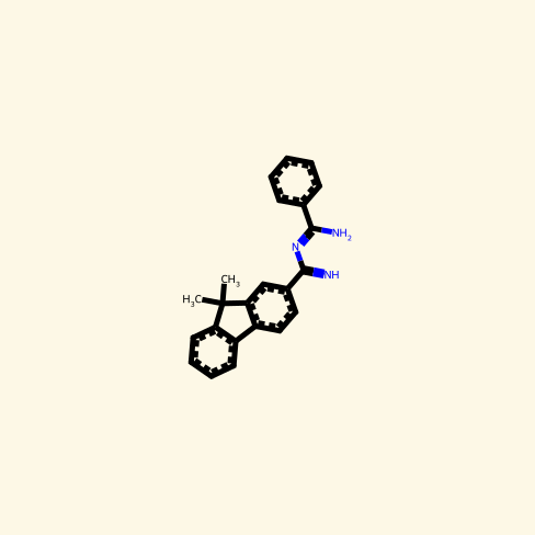 CC1(C)c2ccccc2-c2ccc(C(=N)/N=C(\N)c3ccccc3)cc21